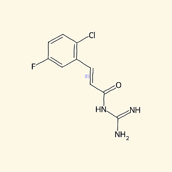 N=C(N)NC(=O)/C=C/c1cc(F)ccc1Cl